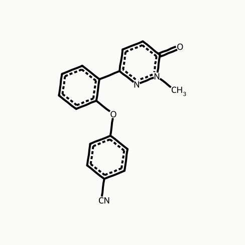 Cn1nc(-c2ccccc2Oc2ccc(C#N)cc2)ccc1=O